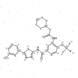 O=C(CN1CCOCC1)Nc1cc(C(=O)Nc2nnc(-c3cccc(Cl)c3)s2)ccc1OC(F)(F)F